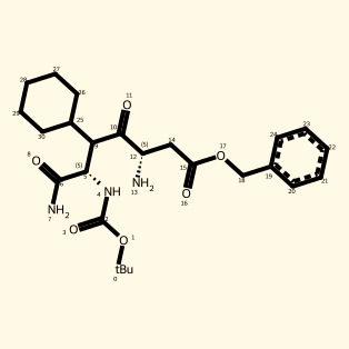 CC(C)(C)OC(=O)N[C@H](C(N)=O)C(C(=O)[C@@H](N)CC(=O)OCc1ccccc1)C1CCCCC1